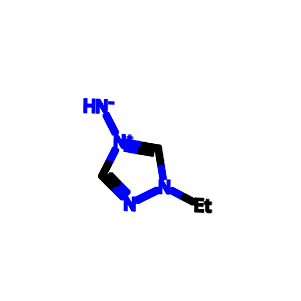 CCn1c[n+]([NH-])cn1